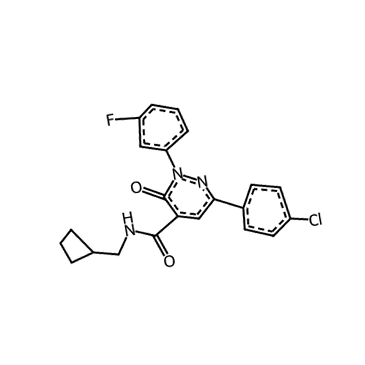 O=C(NCC1CCC1)c1cc(-c2ccc(Cl)cc2)nn(-c2cccc(F)c2)c1=O